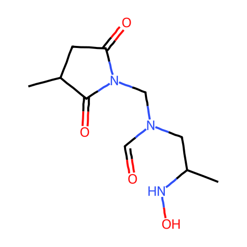 CC(CN(C=O)CN1C(=O)CC(C)C1=O)NO